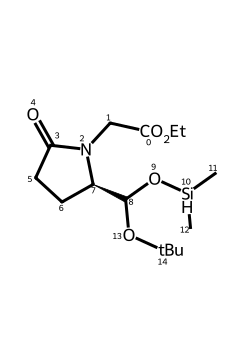 CCOC(=O)CN1C(=O)CC[C@@H]1C(O[SiH](C)C)OC(C)(C)C